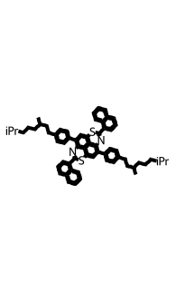 CC(C)CCCC(C)CCc1ccc(-c2cc3c4c(c(-c5ccc(CCC(C)CCCC(C)C)cc5)cc5c4c2N=C(c2cccc4ccccc24)S5)N=C(c2cccc4ccccc24)S3)cc1